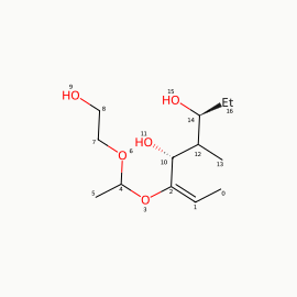 C/C=C(/OC(C)OCCO)[C@H](O)C(C)[C@@H](O)CC